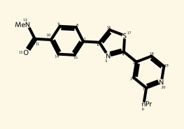 CCCc1cc(-c2nc(-c3ccc(C(=O)NC)cc3)cs2)ccn1